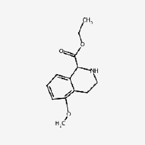 CCOC(=O)C1NCCc2c(OC)cccc21